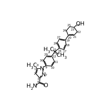 Cc1cc(C(N)=O)nn1-c1ccc(C(C)(C)c2ccc(C3=CCC(O)CC3)cc2)cc1